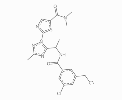 Cc1nc(C(C)NC(=O)c2cc(Cl)cc(CC#N)c2)n(-c2ncc(C(=O)N(C)C)s2)n1